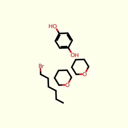 C1CCOCC1.C1CCOCC1.CCCCCCBr.Oc1ccc(O)cc1